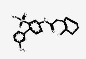 Cc1cccc(-c2ccc(NC(=O)CC3=C(Cl)CCC=C3)cc2S(N)(=O)=O)c1